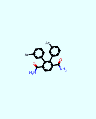 CC(=O)c1cccc(-c2c(C(N)=O)ccc(C(N)=O)c2-c2cccc(C(C)=O)c2)c1